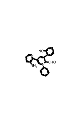 N#Cc1ccccc1C1=CC(c2ncccc2N)=CN(c2ccccc2)C1C=O